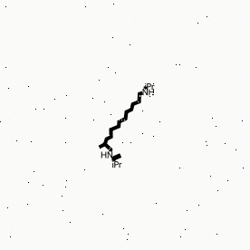 C=C(NCC(C)CCCCCCCCCCCNC(C)C)C(C)C